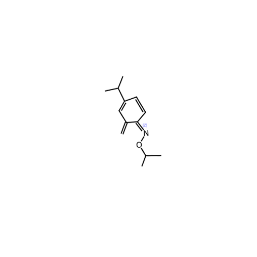 C=C1C=C(C(C)C)C=C/C1=N/OC(C)C